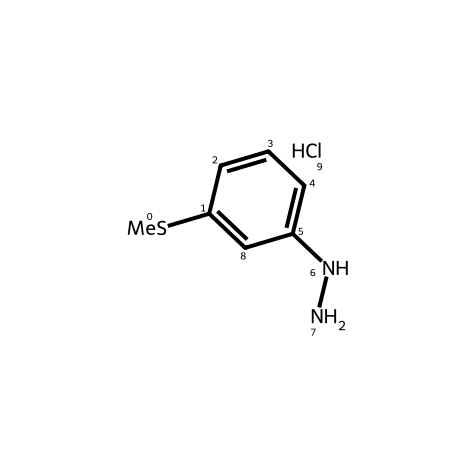 CSc1cccc(NN)c1.Cl